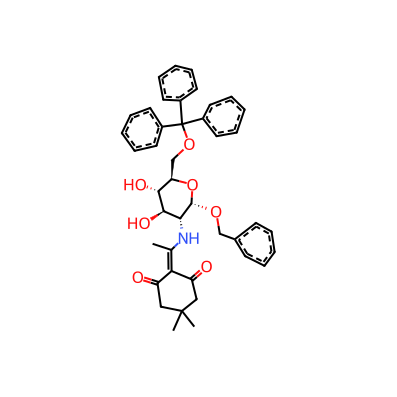 CC(N[C@H]1[C@@H](OCc2ccccc2)O[C@H](COC(c2ccccc2)(c2ccccc2)c2ccccc2)[C@@H](O)[C@@H]1O)=C1C(=O)CC(C)(C)CC1=O